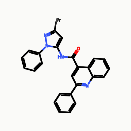 CC(C)c1cc(NC(=O)c2cc(-c3ccccc3)nc3ccccc23)n(-c2ccccc2)n1